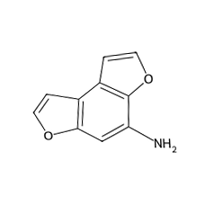 Nc1cc2occc2c2ccoc12